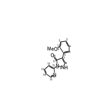 COc1ccccc1-c1c[nH]n(-c2ccccn2)c1=O